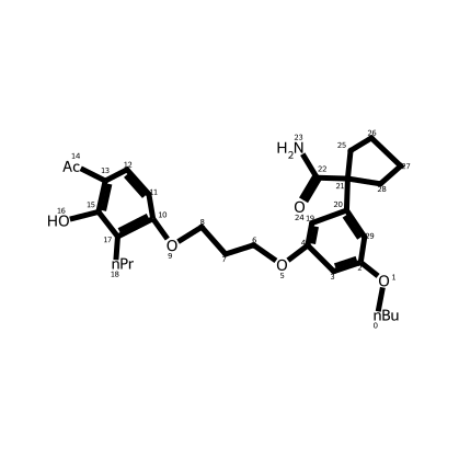 CCCCOc1cc(OCCCOc2ccc(C(C)=O)c(O)c2CCC)cc(C2(C(N)=O)CCCC2)c1